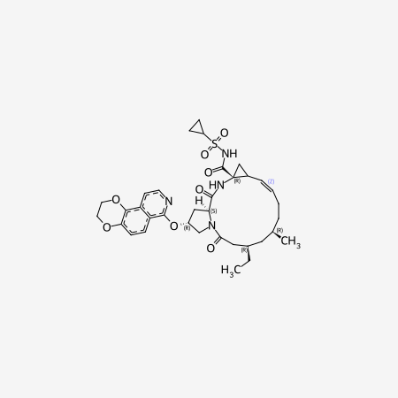 CC[C@H]1CC(=O)N2C[C@H](Oc3nccc4c5c(ccc34)OCCO5)C[C@H]2C(=O)N[C@]2(C(=O)NS(=O)(=O)C3CC3)CC2/C=C\CC[C@@H](C)C1